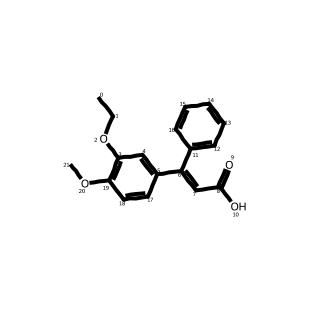 CCOc1cc(C(=CC(=O)O)c2ccccc2)ccc1OC